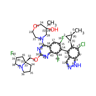 C[C@@H]1C[C@@H]1c1c(Cl)cc2[nH]ncc2c1-c1c(F)cc2c(N3CCOC[C@@](C)(O)C3)nc(OC[C@@]34CCCN3C[C@H](F)C4)nc2c1F